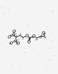 O=C(OCCC([N+](=O)[O-])[N+](=O)[O-])OCC1CO1